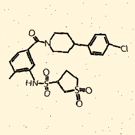 Cc1ccc(C(=O)N2CCC(c3ccc(Cl)cc3)CC2)cc1NS(=O)(=O)C1CCS(=O)(=O)C1